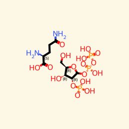 NC(=O)CC[C@H](N)C(=O)O.O=P(O)(O)O[C@H]1C(OP(=O)(O)OP(=O)(O)O)O[C@H](CO)[C@H]1O